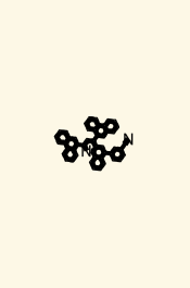 N#Cc1cccc(-c2cc3c(-c4cc5ccccc5c5ccccc45)cc(-c4cc5ccccc5c5ccccc45)nc3c3ccccc23)c1